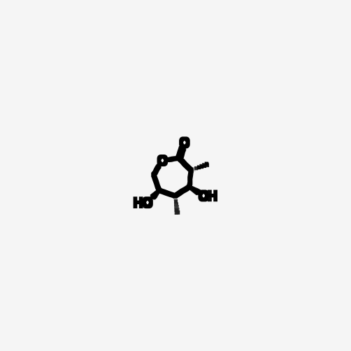 C[C@H]1[C@H](O)[C@@H](C)C(=O)OC[C@@H]1O